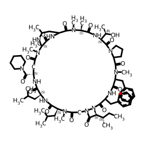 CC[C@H](C)[C@H]1C(=O)N2CC(=O)N(C)[C@@H](CC(C)C)C(=O)N[C@@H](CC(C)C)C(=O)N[C@H](C(=O)N3CCCCC3)CC(=O)N(C)[C@]3(C)NC(C)CC(NC3=O)C(=O)N(C)[C@@H](C)C(=O)N[C@@H]([C@@H](C)O)C(=O)N3CCCC3C(=O)N(C)C(Cc3ccccc3)C(=O)NC(Cc3ccccc3)C(=O)N12